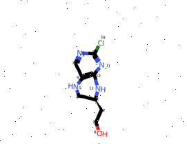 OCC[C@H]1CNc2cnc(Cl)nc2N1